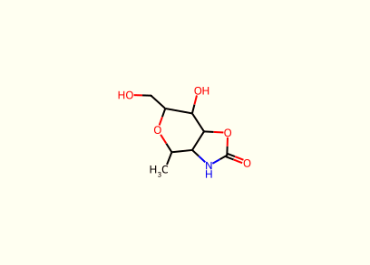 CC1OC(CO)C(O)C2OC(=O)NC12